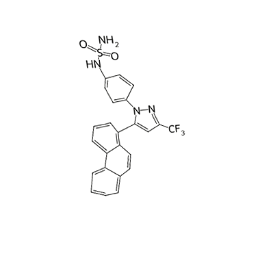 NS(=O)(=O)Nc1ccc(-n2nc(C(F)(F)F)cc2-c2cccc3c2ccc2ccccc23)cc1